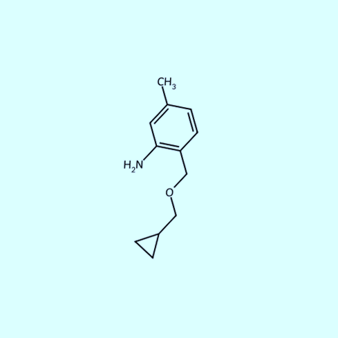 Cc1ccc(COCC2CC2)c(N)c1